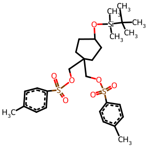 Cc1ccc(S(=O)(=O)OCC2(COS(=O)(=O)c3ccc(C)cc3)CCC(O[Si](C)(C)C(C)(C)C)CC2)cc1